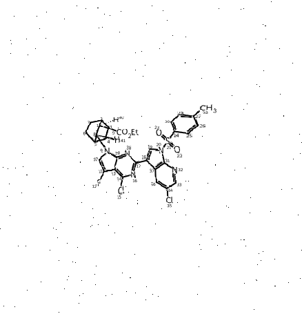 CCOC(=O)[C@@H]1C2CCC(CC2)[C@H]1n1cc(F)c2c(Cl)nc(-c3cn(S(=O)(=O)c4ccc(C)cc4)c4ncc(Cl)cc34)nc21